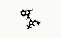 CC1C(C(C)(C)C)S/C(=N\C(=O)c2cc(Cl)nc3ccccc23)N1CC1CC1